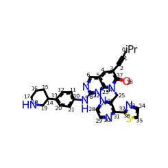 CC(C)C#Cc1cc2cnc(Nc3ccc(C4CCCNC4)cc3)nc2n(Cc2nccnc2-c2nccs2)c1=O